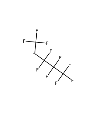 FC(F)(F)[CH]C(F)(F)C(F)(F)C(F)(F)F